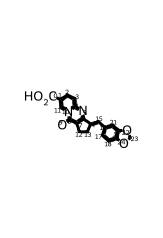 O=C(O)c1ccc2nc3c(c(=O)n2c1)CC/C3=C\c1ccc2c(c1)OCO2